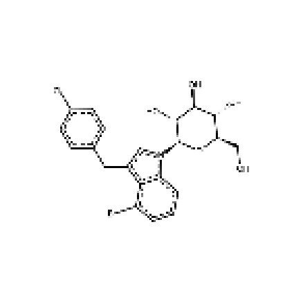 OC[C@H]1O[C@@H](n2cc(Cc3ccc(Cl)cc3)c3c(Br)cccc32)[C@H](O)[C@@H](O)[C@@H]1O